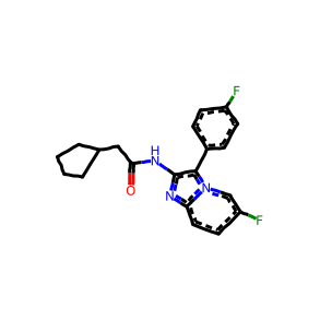 O=C(CC1CCCC1)Nc1nc2ccc(F)cn2c1-c1ccc(F)cc1